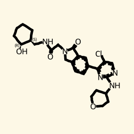 O=C(CN1Cc2ccc(-c3nc(NC4CCOCC4)ncc3Cl)cc2C1=O)NC[C@@H]1CCCC[C@H]1O